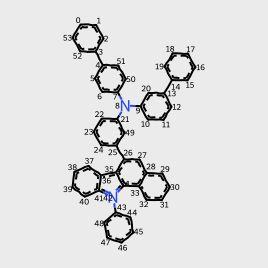 c1ccc(-c2ccc(N(c3cccc(-c4ccccc4)c3)c3cccc(-c4cc5ccccc5c5c4c4ccccc4n5-c4ccccc4)c3)cc2)cc1